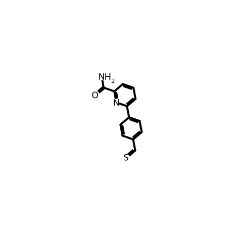 NC(=O)c1cccc(-c2ccc(C=S)cc2)n1